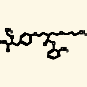 CCCCOCCN(CCOc1ccc(CC(OCC)C(=O)O)cc1)C(=O)Oc1ccccc1C